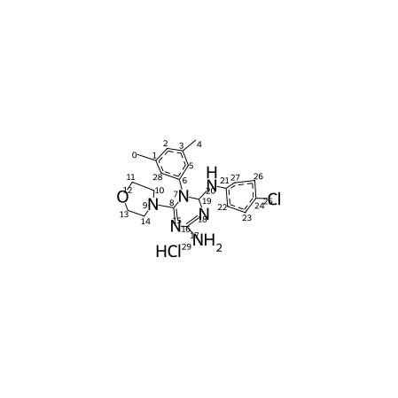 Cc1cc(C)cc(N2C(N3CCOCC3)=NC(N)=NC2Nc2ccc(Cl)cc2)c1.Cl